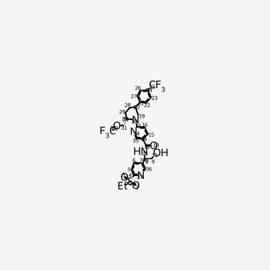 CCS(=O)(=O)c1ccc([C@H](CO)NC(=O)c2ccc(N3CC(c4ccc(C(F)(F)F)cc4)CC[C@H]3COC(F)(F)F)nc2)cn1